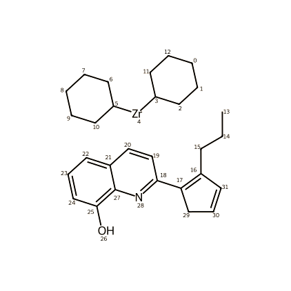 C1CC[CH]([Zr][CH]2CCCCC2)CC1.CCCC1=C(c2ccc3cccc(O)c3n2)CC=C1